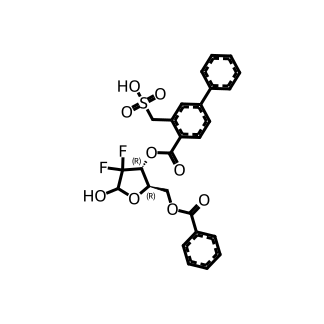 O=C(OC[C@H]1OC(O)C(F)(F)[C@@H]1OC(=O)c1ccc(-c2ccccc2)cc1CS(=O)(=O)O)c1ccccc1